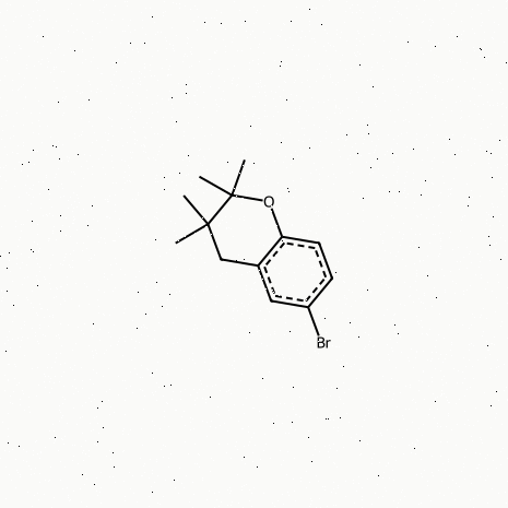 CC1(C)Cc2cc(Br)ccc2OC1(C)C